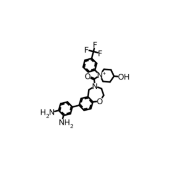 Nc1ccc(-c2ccc3c(c2)CN(C(=O)[N+]2(c4cccc(C(F)(F)F)c4)CCC(O)CC2)CCO3)cc1N